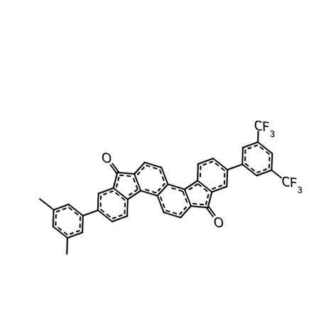 Cc1cc(C)cc(-c2ccc3c(c2)c(=O)c2ccc4c(ccc5c(=O)c6cc(-c7cc(C(F)(F)F)cc(C(F)(F)F)c7)ccc6c54)c23)c1